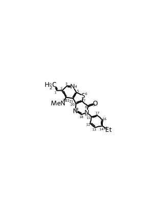 C=Cc1cnc2sc3c(=O)n(-c4ccc(CC)cc4)cnc3c2c1NC